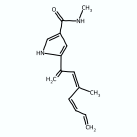 C=C/C=C\C(C)=C/C(=C)c1cc(C(=O)NC)c[nH]1